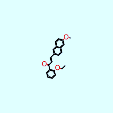 CCOc1ccccc1C(=O)/C=C/c1ccc2cc(OC)ccc2c1